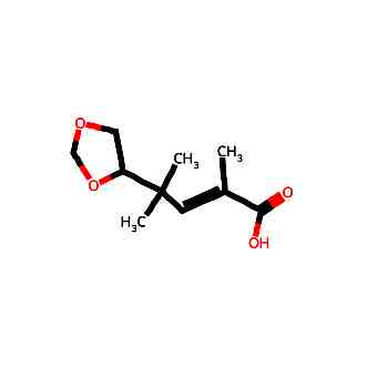 C/C(=C\C(C)(C)C1COCO1)C(=O)O